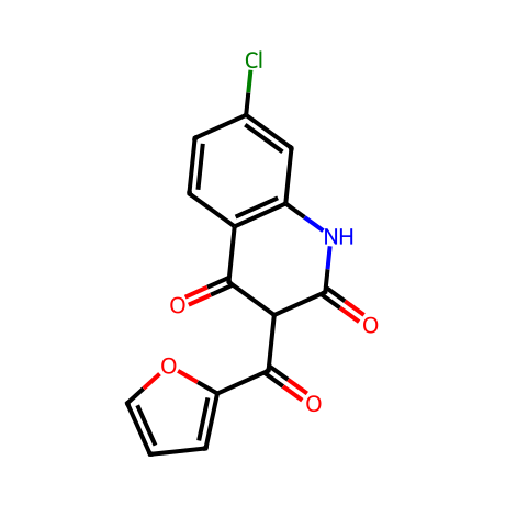 O=C1Nc2cc(Cl)ccc2C(=O)C1C(=O)c1ccco1